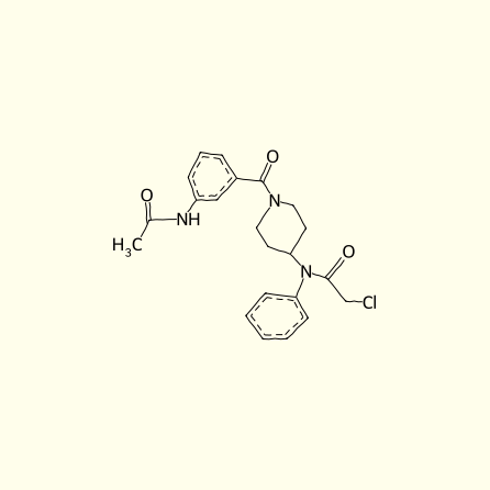 CC(=O)Nc1cccc(C(=O)N2CCC(N(C(=O)CCl)c3ccccc3)CC2)c1